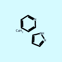 [CaH2].c1ccncc1.c1cn[nH]c1